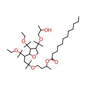 CCCCCCCCCCCC(=O)OC(C)CCOC(C)(C)CC(C1OCC(C(C)(C)OCC(C)O)C1C(C)(C)OCC)C(C)(C)OCC